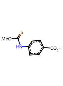 COC(=S)Nc1ccc(C(=O)O)cc1